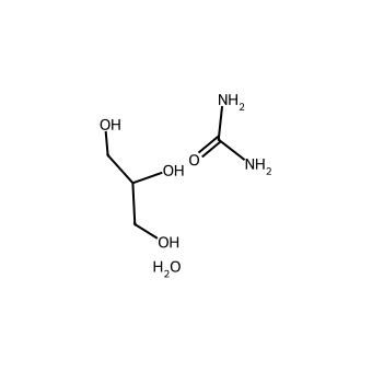 NC(N)=O.O.OCC(O)CO